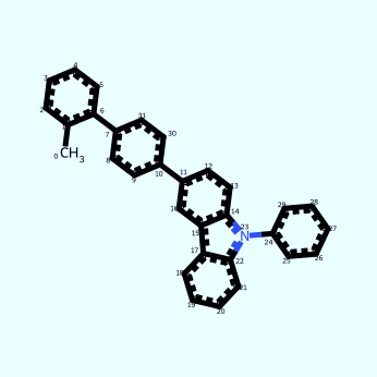 Cc1ccccc1-c1ccc(-c2ccc3c(c2)c2ccccc2n3-c2ccccc2)cc1